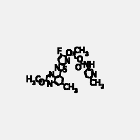 COc1cnc2c(-c3nc4cc(F)c(O[C@@H](C)COC(=O)Nc5ccc(C)nc5)nc4s3)cc(C)cc2n1